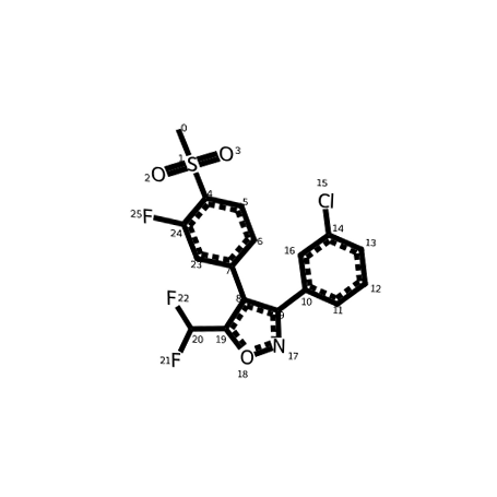 CS(=O)(=O)c1ccc(-c2c(-c3cccc(Cl)c3)noc2C(F)F)cc1F